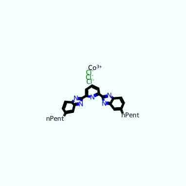 CCCCCC1=CC2=NC(c3cccc(C4=NC5C=CC(CCCCC)=CC5=N4)n3)=NC2C=C1.[Cl-].[Cl-].[Cl-].[Co+3]